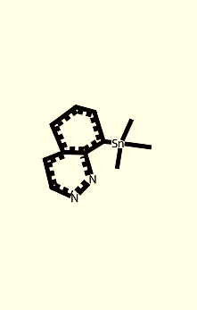 [CH3][Sn]([CH3])([CH3])[c]1cccc2ccnnc12